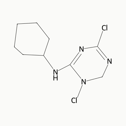 ClC1=NCN(Cl)C(NC2CCCCC2)=N1